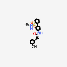 CC(C)(C)NS(=O)(=O)c1ccccc1-c1ccc(NC(=O)[C@@H]2C[C@@H]2c2cccc(C#N)c2)cc1